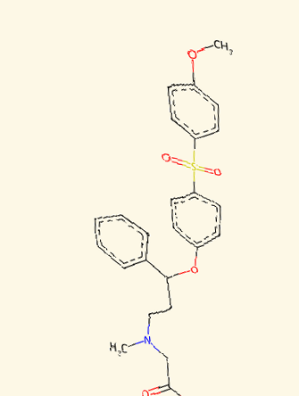 COc1ccc(S(=O)(=O)c2ccc(OC(CCN(C)CC(=O)O)c3ccccc3)cc2)cc1